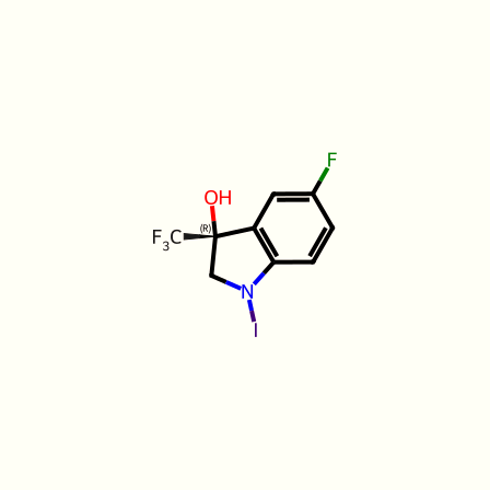 O[C@@]1(C(F)(F)F)CN(I)c2ccc(F)cc21